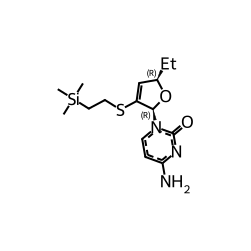 CC[C@@H]1C=C(SCC[Si](C)(C)C)[C@H](n2ccc(N)nc2=O)O1